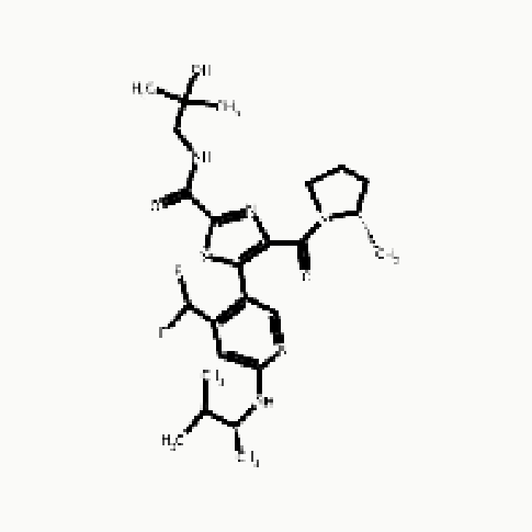 CC(C)[C@H](C)Nc1cc(C(F)F)c(-c2sc(C(=O)NCC(C)(C)O)nc2C(=O)N2CCC[C@@H]2C)cn1